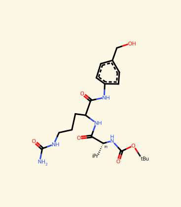 CC(C)[C@@H](NC(=O)OC(C)(C)C)C(=O)NC(CCCNC(N)=O)C(=O)Nc1ccc(CO)cc1